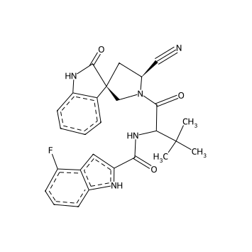 CC(C)(C)C(NC(=O)c1cc2c(F)cccc2[nH]1)C(=O)N1C[C@]2(C[C@H]1C#N)C(=O)Nc1ccccc12